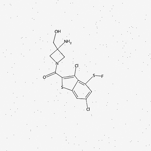 NC1(CO)CN(C(=O)c2sc3cc(Cl)cc(SF)c3c2Cl)C1